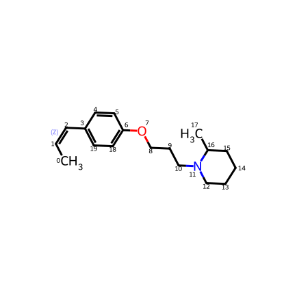 C/C=C\c1ccc(OCCCN2CCCCC2C)cc1